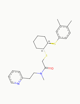 Cc1ccc(S[C@@H]2CCCC[C@H]2SCC(=O)N(C)CCc2ccccn2)cc1C